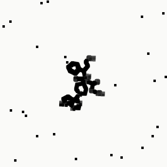 CC(C)(C)OC(=O)NC1(C(=O)NC(CCO)c2ccccc2)CCN(c2ncnc3[nH]ccc23)CC1